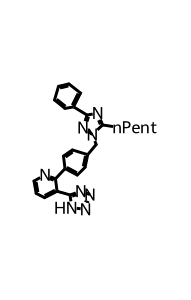 CCCCCc1nc(-c2ccccc2)nn1Cc1ccc(-c2ncccc2-c2nnn[nH]2)cc1